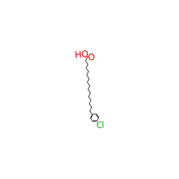 O=C(O)CCCCCCCCCCCCCCCc1ccc(Cl)cc1